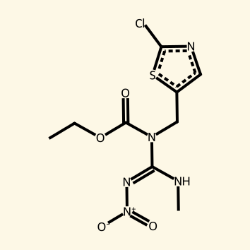 CCOC(=O)N(Cc1cnc(Cl)s1)/C(=N/[N+](=O)[O-])NC